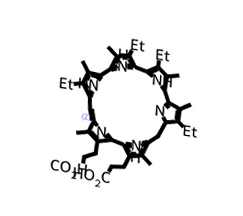 CCC1=C(C)C2=NC1Cc1[nH]c(c(CCC(=O)O)c1C)C1=N/C(=C\c3[nH]c(c(C)c3CC)-c3[nH]c(c(CC)c3C)C3=C(CC)C(C)C2N3)C(C)=C1CCC(=O)O